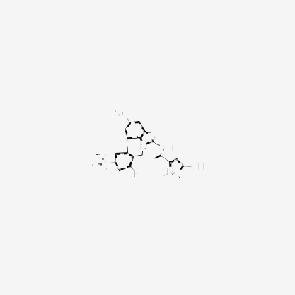 CCOP(=O)(OCC)c1cc(F)c(Cn2c(NC(=O)c3cc(C)nn3CC)nc3cc(C#N)ccc32)c(F)c1